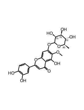 COc1c(OC2O[C@H](C)[C@@H](O)[C@H](O)[C@@H]2O)cc2oc(-c3ccc(O)c(O)c3)cc(=O)c2c1O